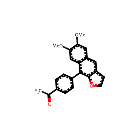 COc1cc2cc3ccoc3c(-c3ccc(C(=O)C(F)(F)F)cc3)c2cc1OC